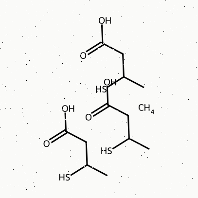 C.CC(S)CC(=O)O.CC(S)CC(=O)O.CC(S)CC(=O)O